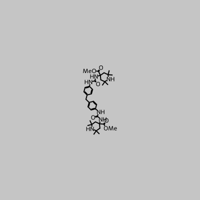 COC(=O)C1(NC(=O)Nc2ccc(Cc3ccc(NC(=O)NC4(C(=O)OC)CC(C)(C)NC(C)(C)C4)cc3)cc2)CC(C)(C)NC(C)(C)C1